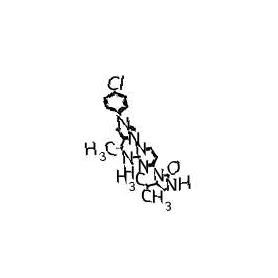 CC(C)C1CNC(=O)N1c1ccnc(N[C@H](C)c2cn(-c3ccc(Cl)cc3)cn2)n1